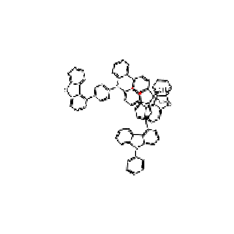 CC1(C)c2ccc(-c3ccccc3N(c3ccc(-c4cccc5oc6ccccc6c45)cc3)c3ccc(-c4cccc5oc6ccccc6c45)cc3)cc2-c2ccc(-c3cccc4c3c3ccccc3n4-c3ccccc3)cc21